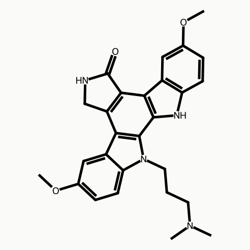 COc1ccc2[nH]c3c(c4c(c5c6cc(OC)ccc6n(CCCN(C)C)c35)CNC4=O)c2c1